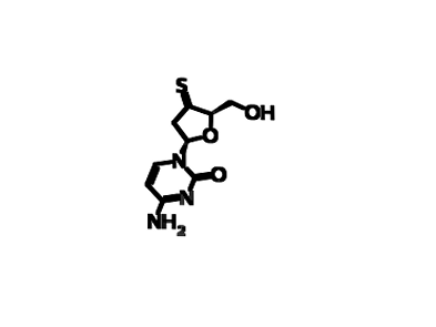 Nc1ccn([C@H]2CC(=S)[C@@H](CO)O2)c(=O)n1